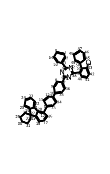 c1ccc(-c2nc(-c3ccc(-c4ccc(-c5cccc6c5-c5ccccc5C65CCCCC5)cc4)cc3)nc(-c3cccc4oc5ccccc5c34)n2)cc1